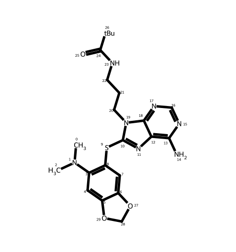 CN(C)c1cc2c(cc1Sc1nc3c(N)ncnc3n1CCCNC(=O)C(C)(C)C)OCO2